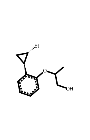 CC[C@H]1C[C@@H]1c1ccccc1OC(C)CO